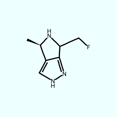 C[C@H]1NC(CF)c2n[nH]cc21